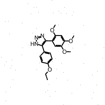 CCOc1ccc(-c2[nH]nnc2-c2cc(OC)c(OC)cc2OC)cc1